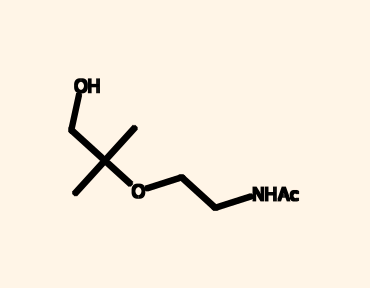 CC(=O)NCCOC(C)(C)CO